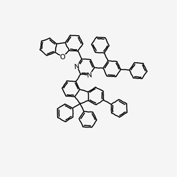 c1ccc(-c2ccc(-c3cc(-c4cccc5c4oc4ccccc45)nc(-c4cccc5c4-c4ccc(-c6ccccc6)cc4C5(c4ccccc4)c4ccccc4)n3)c(-c3ccccc3)c2)cc1